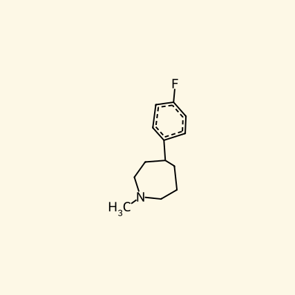 CN1CCCC(c2ccc(F)cc2)CC1